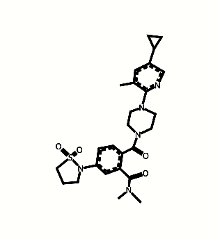 Cc1cc(C2CC2)cnc1N1CCN(C(=O)c2ccc(N3CCCS3(=O)=O)cc2C(=O)N(C)C)CC1